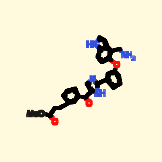 COC(=O)CCc1cccc(C(=O)c2cnc(-c3cccc(Oc4ccc5[nH]ccc5c4CN)c3)[nH]2)c1